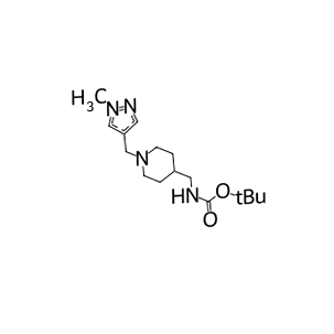 Cn1cc(CN2CCC(CNC(=O)OC(C)(C)C)CC2)cn1